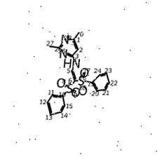 Cc1cc(NC=C(S(=O)(=O)c2ccccc2)S(=O)(=O)c2ccccc2)nc(C)n1